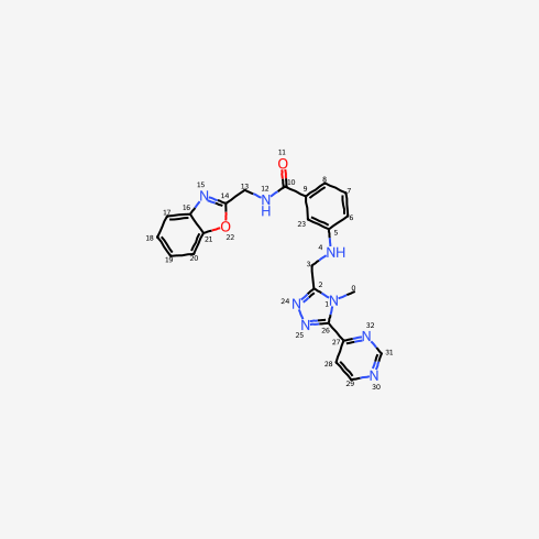 Cn1c(CNc2cccc(C(=O)NCc3nc4ccccc4o3)c2)nnc1-c1ccncn1